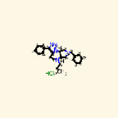 CCCN1CCc2c(-c3ccccc3)nnn2[C@H]2CN(Cc3ccccc3)C[C@H]21.Cl